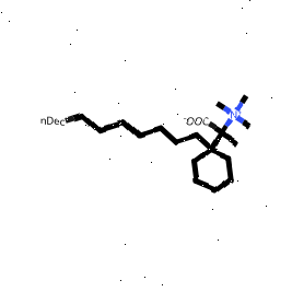 CCCCCCCCCCCCCCCCCC1(C(C)(C(=O)[O-])[N+](C)(C)C)CCCCC1